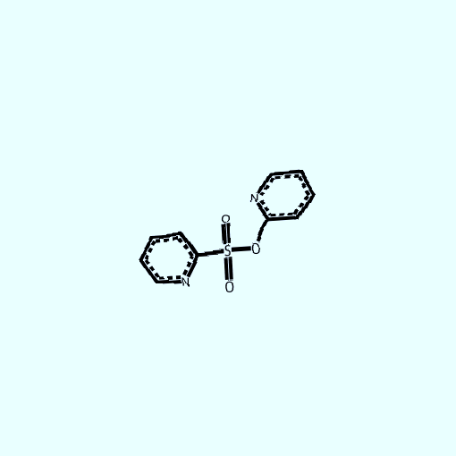 O=S(=O)(Oc1ccccn1)c1ccccn1